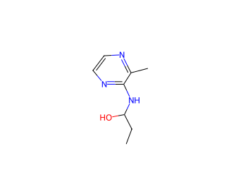 CCC(O)Nc1nccnc1C